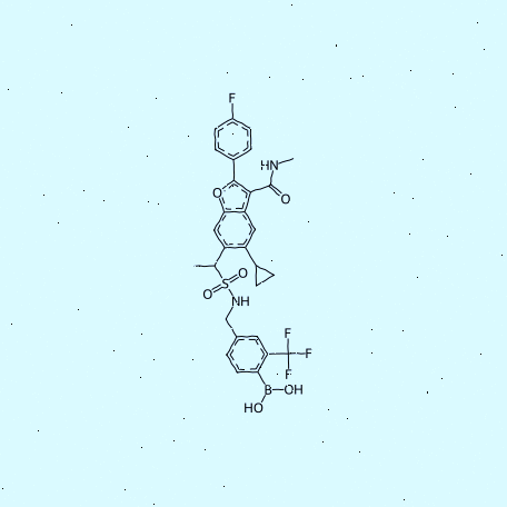 CNC(=O)c1c(-c2ccc(F)cc2)oc2cc(C(C)S(=O)(=O)NCc3ccc(B(O)O)c(C(F)(F)F)c3)c(C3CC3)cc12